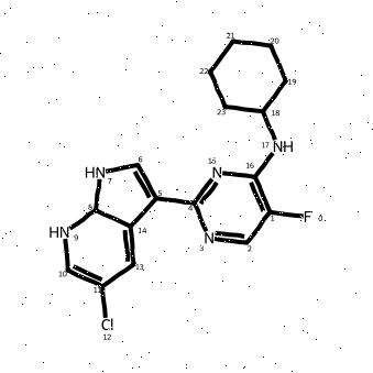 Fc1cnc(C2=CNC3NC=C(Cl)C=C23)nc1NC1CCCCC1